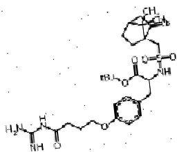 CC(C)(C)OC(=O)[C@H](Cc1ccc(OCCCC(=O)NC(=N)N)cc1)NS(=O)(=O)C[C@]12CCC(CC1=O)C2(C)C